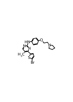 Cc1cnc(Nc2ccc(OCCN3CCCC3)cc2)nc1-c1ccc(Br)s1